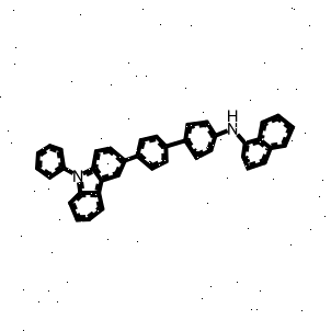 c1ccc(-n2c3ccccc3c3cc(-c4ccc(-c5ccc(Nc6cccc7ccccc67)cc5)cc4)ccc32)cc1